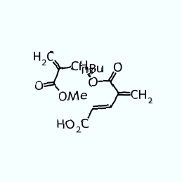 C=C(C)C(=O)OC.C=C(C=CC(=O)O)C(=O)OCCCC